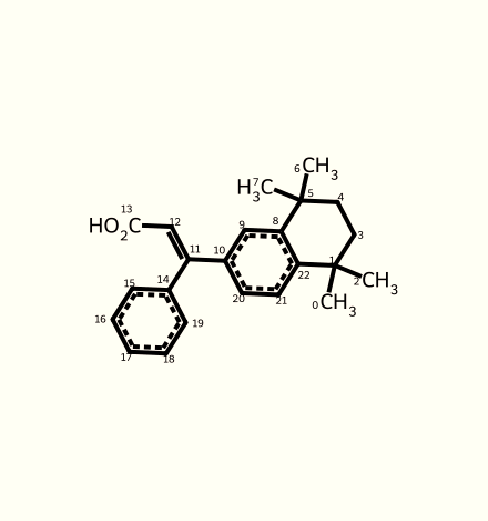 CC1(C)CCC(C)(C)c2cc(C(=CC(=O)O)c3ccccc3)ccc21